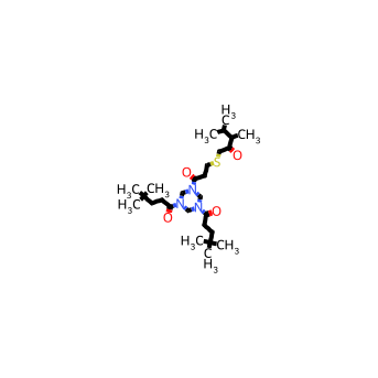 CC(C)C(C)C(=O)CSCCC(=O)N1CN(C(=O)CCC(C)(C)C)CN(C(=O)CCC(C)(C)C)C1